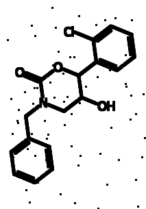 O=C1OC(c2ccccc2Cl)C(O)CN1Cc1ccccc1